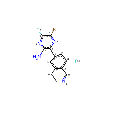 Nc1nc(F)c(Br)nc1-c1cc(F)c2c(c1)CCN=C2